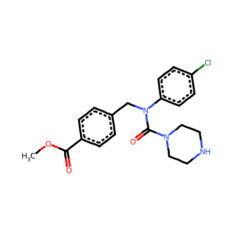 COC(=O)c1ccc(CN(C(=O)N2CCNCC2)c2ccc(Cl)cc2)cc1